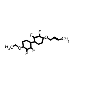 CC=CCOC1CCC(C2CCC(OCC)C(F)C2F)C(F)C1F